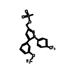 CS(=O)(=O)OCc1cc(-c2cccc(OC(F)(F)F)c2)n(-c2ccc(C(F)(F)F)cc2)n1